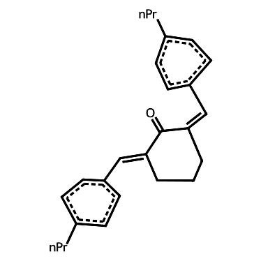 CCCc1ccc(/C=C2/CCC/C(=C\c3ccc(CCC)cc3)C2=O)cc1